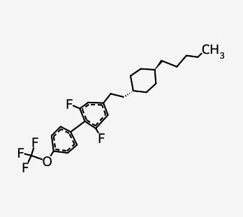 CCCCC[C@H]1CC[C@H](CCc2cc(F)c(-c3ccc(OC(F)(F)F)cc3)c(F)c2)CC1